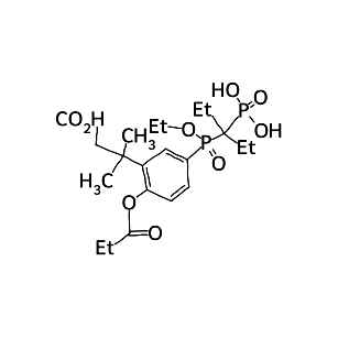 CCOP(=O)(c1ccc(OC(=O)CC)c(C(C)(C)CC(=O)O)c1)C(CC)(CC)P(=O)(O)O